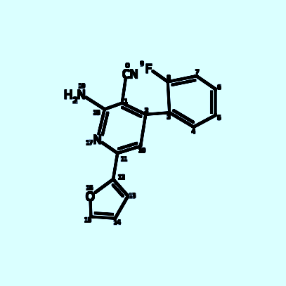 N#Cc1c(-c2ccccc2F)cc(-c2ccco2)nc1N